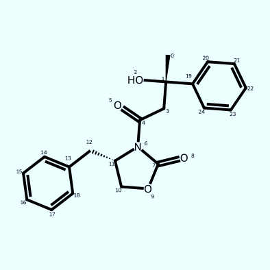 C[C@](O)(CC(=O)N1C(=O)OC[C@@H]1Cc1ccccc1)c1ccccc1